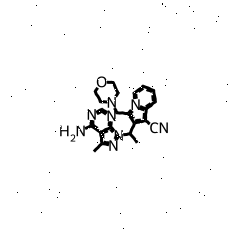 Cc1nn(C(C)c2c(C#N)c3ccccn3c2CN2CCOCC2)c2ncnc(N)c12